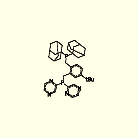 CC(C)(C)c1ccc(CP(C23CC4CC(CC(C4)C2)C3)C23CC4CC(CC(C4)C2)C3)c(CP(c2cnccn2)c2cnccn2)c1